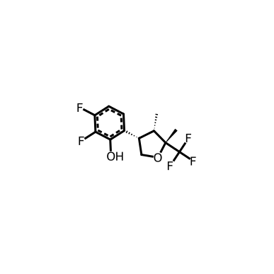 C[C@H]1[C@@H](c2ccc(F)c(F)c2O)CO[C@@]1(C)C(F)(F)F